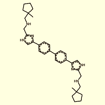 CC1(CNCc2nc(-c3ccc(-c4ccc(-c5c[nH]c(CNCC6(C)CCCC6)n5)cc4)cc3)c[nH]2)CCCC1